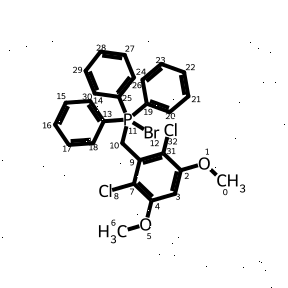 COc1cc(OC)c(Cl)c(CP(Br)(c2ccccc2)(c2ccccc2)c2ccccc2)c1Cl